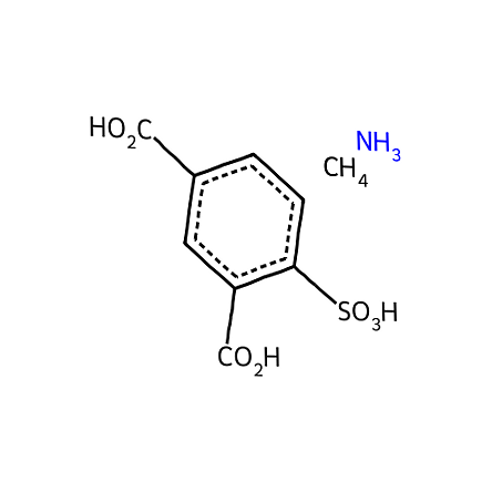 C.N.O=C(O)c1ccc(S(=O)(=O)O)c(C(=O)O)c1